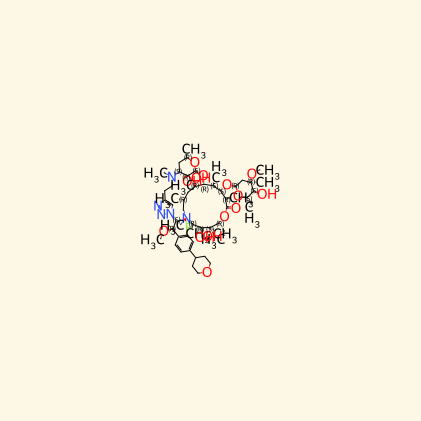 CC[C@H]1OC(=O)[C@H](C)[C@@H](O[C@H]2C[C@@](C)(OC)[C@@H](O)[C@H](C)O2)[C@H](C)[C@@H](O[C@@H]2O[C@H](C)C[C@H](N(C)CCc3cn([C@H](CF)[C@H](OC)c4ccc(C5CCOCC5)cc4)nn3)[C@H]2O)[C@](C)(O)C[C@@H](C)CN(C)[C@H](C)[C@@H](O)[C@]1(C)O